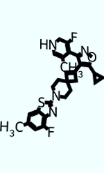 CC1=CNCC(F)=C1c1noc(C2CC2)c1C1=CC2(CCN(c3nc4c(F)cc(C)cc4s3)CC2)C1